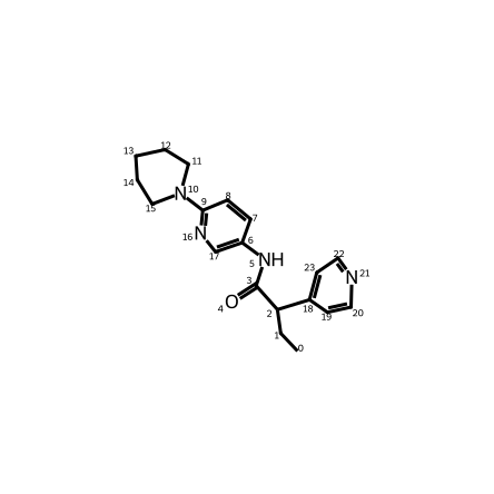 CCC(C(=O)Nc1ccc(N2CCCCC2)nc1)c1ccncc1